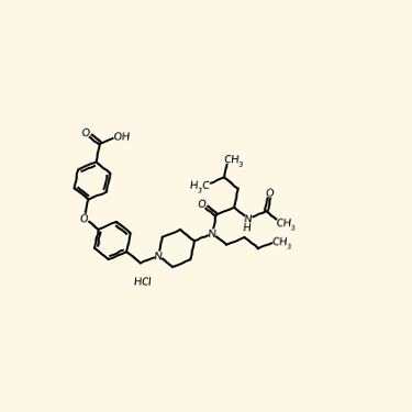 CCCCN(C(=O)C(CC(C)C)NC(C)=O)C1CCN(Cc2ccc(Oc3ccc(C(=O)O)cc3)cc2)CC1.Cl